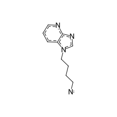 [N]CCCCn1cnc2ncccc21